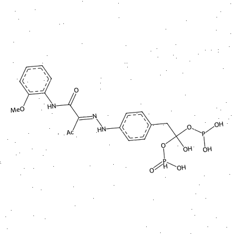 COc1ccccc1NC(=O)/C(=N/Nc1ccc(CC(O)(OP(O)O)O[PH](=O)O)cc1)C(C)=O